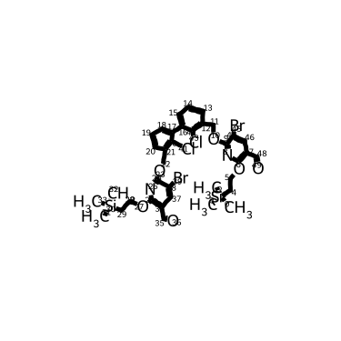 C[Si](C)(C)CCOc1nc(OCc2cccc(-c3cccc(COc4nc(OCC[Si](C)(C)C)c(C=O)cc4Br)c3Cl)c2Cl)c(Br)cc1C=O